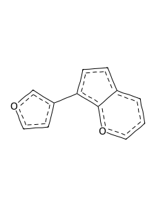 c1coc2c(-c3ccoc3)ccc-2c1